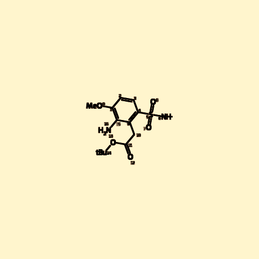 COc1ccc(S([NH])(=O)=O)c(CC(=O)OC(C)(C)C)c1N